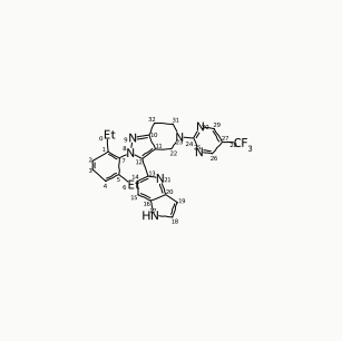 CCc1cccc(CC)c1-n1nc2c(c1-c1ccc3[nH]ccc3n1)CN(c1ncc(C(F)(F)F)cn1)CC2